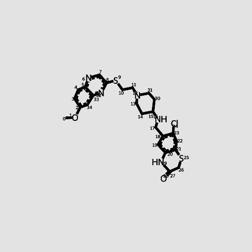 COc1ccc2ncc(SCCN3CCC(NCc4cc5c(cc4Cl)SCC(=O)N5)CC3)nc2c1